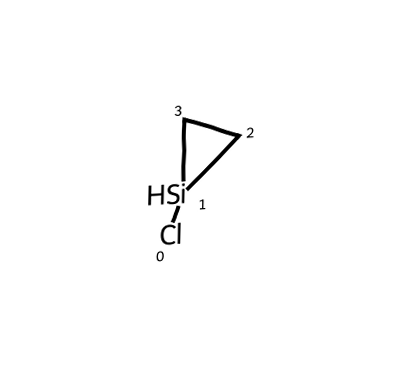 Cl[SiH]1CC1